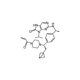 C=CC(=O)N1CCN([C@H](CC23CC(C2)C3)c2ccc([C@H](C)Nc3ncc4[nH]c(=O)n(C(C)C)c4n3)cc2)CC1